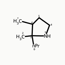 CCCC1(C)NCCC1C